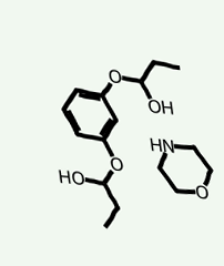 C1COCCN1.CCC(O)Oc1cccc(OC(O)CC)c1